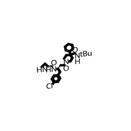 CC(C)(C)NC(=O)C1(C2CCCCC2)CCN(C(=O)C[C@@H](Cc2ccc(Cl)cc2)NC(=O)[C@@H]2CCN2)CC1